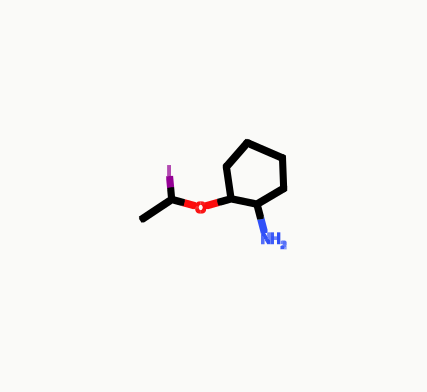 CC(I)OC1CCCCC1N